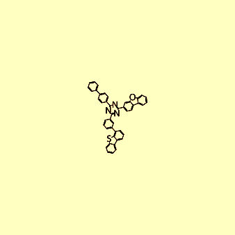 c1ccc(-c2ccc(-c3nc(-c4cccc(-c5cccc6c5sc5ccccc56)c4)nc(-c4ccc5c(c4)oc4ccccc45)n3)cc2)cc1